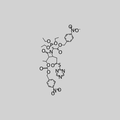 CCOP(OCC)(OCC)=C(C(=O)OCc1ccc([N+](=O)[O-])cc1)N1C(=O)C(C(C)OC(=O)OCc2ccc([N+](=O)[O-])cc2)C1CC(=O)Sc1ncncn1